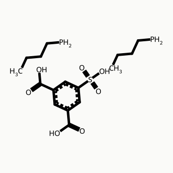 CCCCP.CCCCP.O=C(O)c1cc(C(=O)O)cc(S(=O)(=O)O)c1